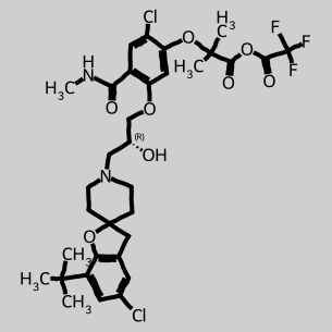 CNC(=O)c1cc(Cl)c(OC(C)(C)C(=O)OC(=O)C(F)(F)F)cc1OC[C@H](O)CN1CCC2(CC1)Cc1cc(Cl)cc(C(C)(C)C)c1O2